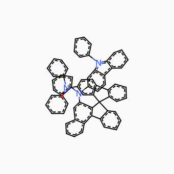 c1ccc(N(c2ccccc2)c2ccc3c(c2)C2(c4ccccc4-3)c3ccccc3-c3c2c(N(c2ccccc2)c2ccc4c5ccccc5n(-c5ccccc5)c4c2)cc2ccccc32)cc1